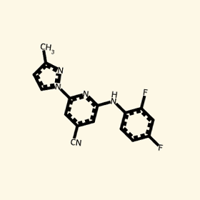 Cc1ccn(-c2cc(C#N)cc(Nc3ccc(F)cc3F)n2)n1